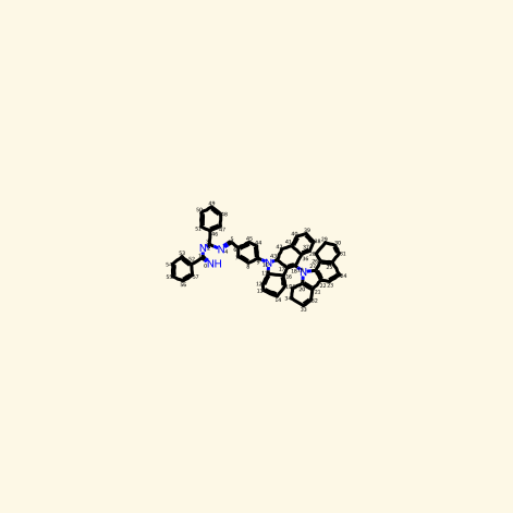 N=C(/N=C(\N=C\c1ccc(N2c3ccccc3C3=C(n4c5c(c6ccc7c(c64)CCC=C7)C=CCC5)c4ccccc4CC32)cc1)c1ccccc1)c1ccccc1